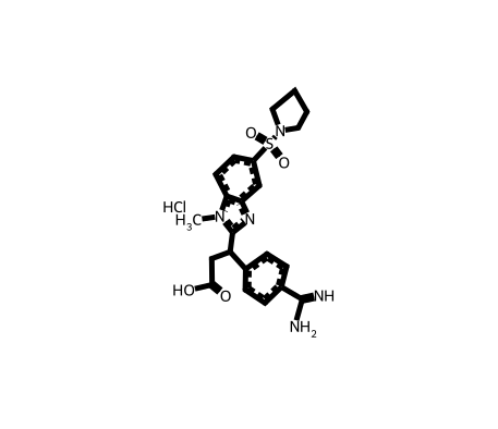 Cl.Cn1c(C(CC(=O)O)c2ccc(C(=N)N)cc2)nc2cc(S(=O)(=O)N3CCCC3)ccc21